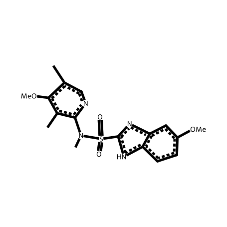 COc1ccc2[nH]c(S(=O)(=O)N(C)c3ncc(C)c(OC)c3C)nc2c1